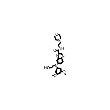 COc1cc(OC)cc(N(CCO)c2ccc3ncc(C(=O)NCCN4CCOCC4)nc3c2)c1